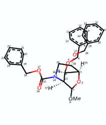 COC1O[C@H]2[C@H](OCc3ccccc3)[C@@H]1N(C(=O)OCc1ccccc1)C[C@@H]2OCc1ccccc1